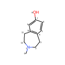 CN1CCc2ccc(O)cc2CC1